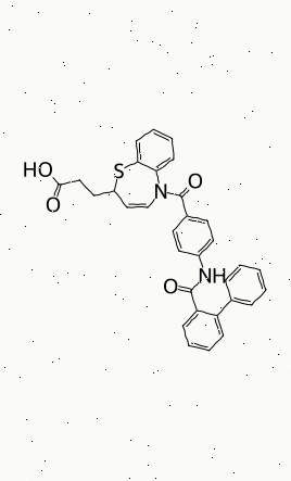 O=C(O)CCC1C=CN(C(=O)c2ccc(NC(=O)c3ccccc3-c3ccccc3)cc2)c2ccccc2S1